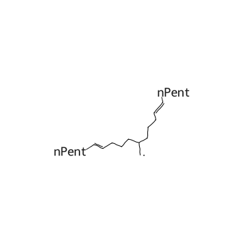 [CH2]C(CCCC=CCCCCC)CCCC=CCCCCC